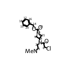 CNCCN(C(=O)CCl)C1CN(C(=O)OCc2ccccc2)C1